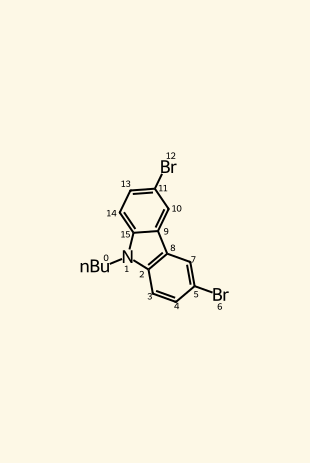 CCCCn1c2ccc(Br)cc2c2cc(Br)ccc21